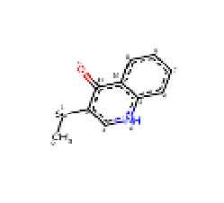 C[Se]c1c[nH]c2ccccc2c1=O